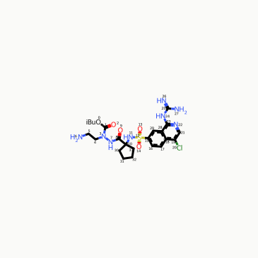 CC(C)COC(=O)N(CCN)NC(=O)C1(NS(=O)(=O)c2ccc3c(Cl)cnc(NC(=N)N)c3c2)CCCC1